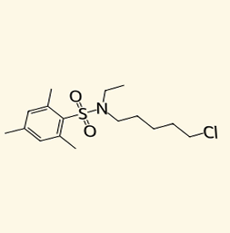 CCN(CCCCCCl)S(=O)(=O)c1c(C)cc(C)cc1C